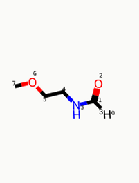 [3H]C(=O)NCCOC